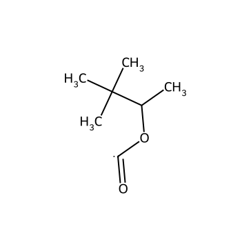 CC(O[C]=O)C(C)(C)C